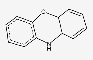 C1=CC2Nc3ccccc3OC2C=C1